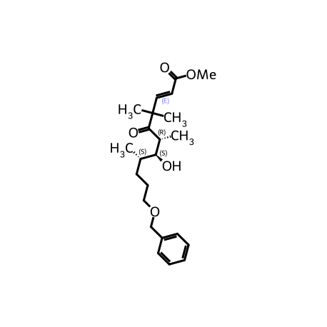 COC(=O)/C=C/C(C)(C)C(=O)[C@H](C)[C@@H](O)[C@@H](C)CCCOCc1ccccc1